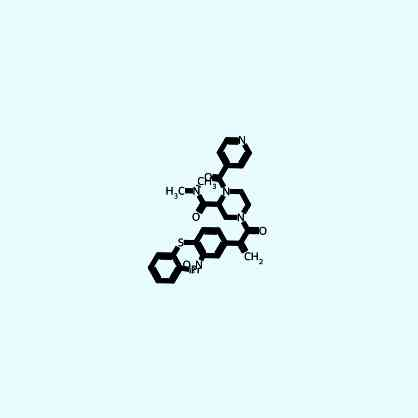 C=C(C(=O)N1CCN(C(=O)c2ccncc2)C(C(=O)N(C)C)C1)c1ccc(Sc2ccccc2C(C)C)c([N+](=O)[O-])c1